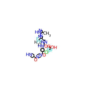 Cc1cn[nH]c1-n1cc(-c2cnc(C(=O)Nc3ccc(C(=O)N4CCN(C(=O)C5CCNCC5)CC4)c(Cl)c3)n2C)c(C(F)(F)F)n1.O=C(O)C(F)(F)F